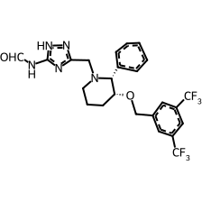 O=CNc1nc(CN2CCC[C@@H](OCc3cc(C(F)(F)F)cc(C(F)(F)F)c3)[C@H]2c2ccccc2)n[nH]1